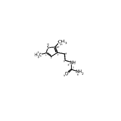 Cc1cc(CCNC(N)=O)c(C)s1